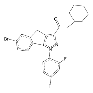 O=C(CC1CCCCC1)c1nn(-c2ccc(F)cc2F)c2c1Cc1cc(Br)ccc1-2